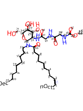 CCCCCCCC/C=C\CCCCCCCC(=O)N(CCCCCCCCCCCCCCCCCC)[C@@H]1O[C@H](CO)[C@@H](O)[C@H](O)[C@H]1NC(=O)CNC(=O)CNC(=O)OC(C)(C)C